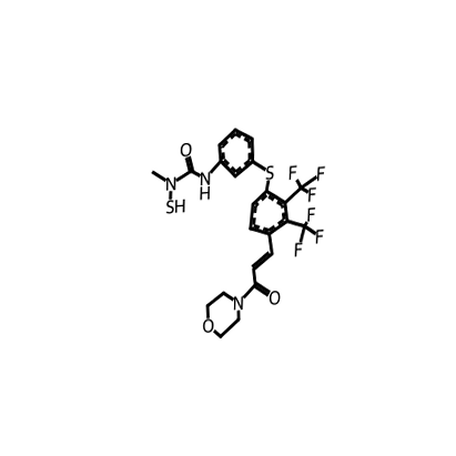 CN(S)C(=O)Nc1cccc(Sc2ccc(C=CC(=O)N3CCOCC3)c(C(F)(F)F)c2C(F)(F)F)c1